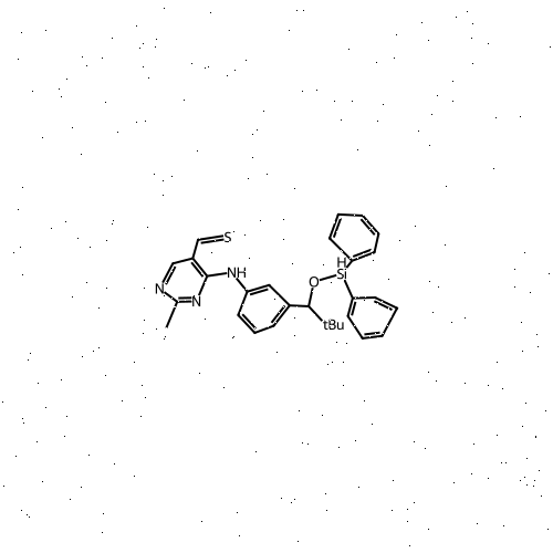 Cc1ncc(C=S)c(Nc2cccc(C(O[SiH](c3ccccc3)c3ccccc3)C(C)(C)C)c2)n1